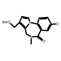 COCc1ccn2c1CN(C)C(=O)c1cc(Cl)ccc1-2